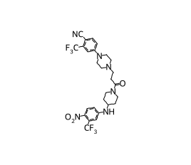 N#Cc1ccc(N2CCN(CCC(=O)N3CCC(Nc4ccc([N+](=O)[O-])c(C(F)(F)F)c4)CC3)CC2)cc1C(F)(F)F